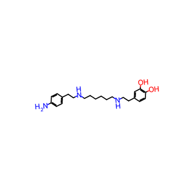 Nc1ccc(CCNCCCCCCNCCc2ccc(O)c(O)c2)cc1